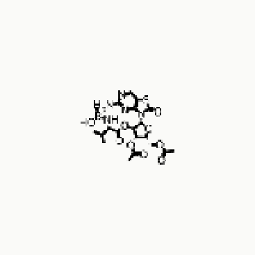 CB(O)N[C@H](C(=O)O[C@@H]1[C@@H](OC(C)=O)[C@@H](COC(C)=O)O[C@H]1n1c(=O)sc2cnc(N)nc21)C(C)C